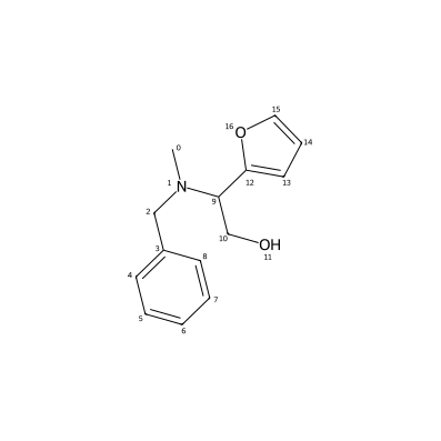 CN(Cc1ccccc1)C(CO)c1ccco1